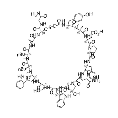 CCCC[C@H]1C(=O)N(C)[C@@H](CCCC)C(=O)N[C@@H](C)C(=O)N[C@H](C(=O)NCC(N)=O)CSCC(=O)N[C@@H](Cc2ccc(O)cc2)C(=O)N(C)[C@@H](C)C(=O)N[C@@H](CC(=O)O)C(=O)N2CCC[C@H]2C(=O)N[C@@H](Cc2c[nH]cn2)C(=O)N[C@@H](CCC(N)=O)C(=O)N2C[C@H](O)C[C@H]2C(=O)N[C@@H]([C@@H](C)c2c[nH]c3ccccc23)C(=O)N[C@@H](CO)C(=O)N[C@@H](Cc2c[nH]c3ccccc23)C(=O)N1C